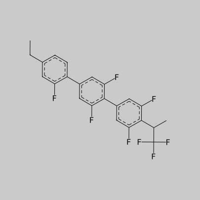 CCc1ccc(-c2cc(F)c(-c3cc(F)c(C(C)C(F)(F)F)c(F)c3)c(F)c2)c(F)c1